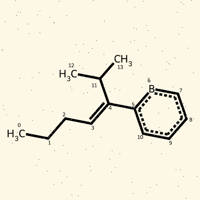 CCCC=C(c1bcccc1)C(C)C